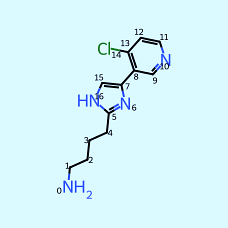 NCCCCc1nc(-c2cnccc2Cl)c[nH]1